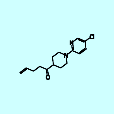 C=CCCC(=O)C1CCN(c2ccc(Cl)cn2)CC1